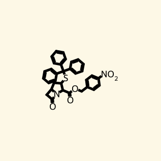 O=C(OCc1ccc([N+](=O)[O-])cc1)C1C(SC(c2ccccc2)(c2ccccc2)c2ccccc2)CC2CC(=O)N21